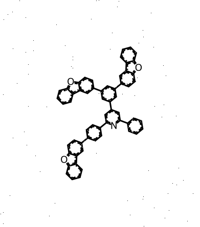 c1ccc(-c2cc(-c3cc(-c4ccc5oc6ccccc6c5c4)cc(-c4ccc5oc6ccccc6c5c4)c3)cc(-c3ccc(-c4ccc5oc6ccccc6c5c4)cc3)n2)cc1